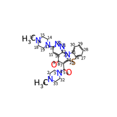 CN1CCN(C(=O)c2c(=O)c3cc(N4CCN(C)CC4)nnc3n3c2sc2ccccc23)CC1